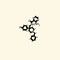 Nc1nccnc1C(=O)NCC1(c2ccc(F)cc2)CCN(Cc2ccccc2)CC1